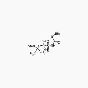 CCCC(N)(OC(C)(C)OC)S(=O)(=O)NC(=O)OC(C)(C)C